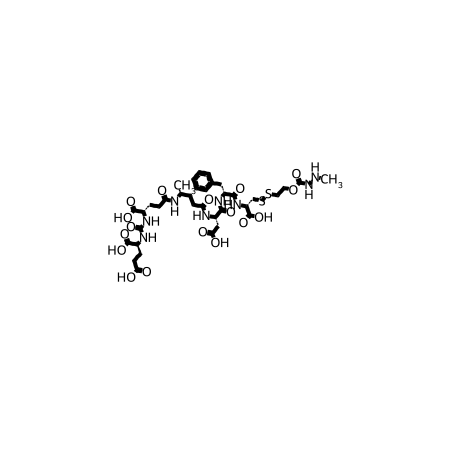 CNNC(=O)OCCSSC[C@@H](NC(=O)[C@@H](Cc1ccccc1)NC(=O)[C@H](CC(=O)O)NC(=O)CC[C@@H](C)NC(=O)CC[C@H](NC(=O)N[C@@H](CCC(=O)O)C(=O)O)C(=O)O)C(=O)O